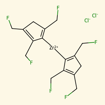 FCC1=C(CF)[C]([Zr+2][C]2=C(CF)CC(CF)=C2CF)=C(CF)C1.[Cl-].[Cl-]